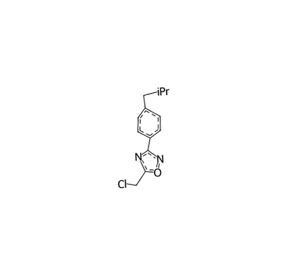 CC(C)Cc1ccc(-c2noc(CCl)n2)cc1